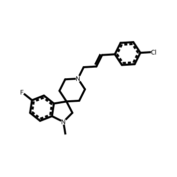 CN1CC2(CCN(C/C=C/c3ccc(Cl)cc3)CC2)c2cc(F)ccc21